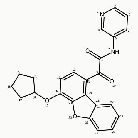 O=C(Nc1cccnc1)C(=O)c1ccc(OC2CCCC2)c2oc3ccccc3c12